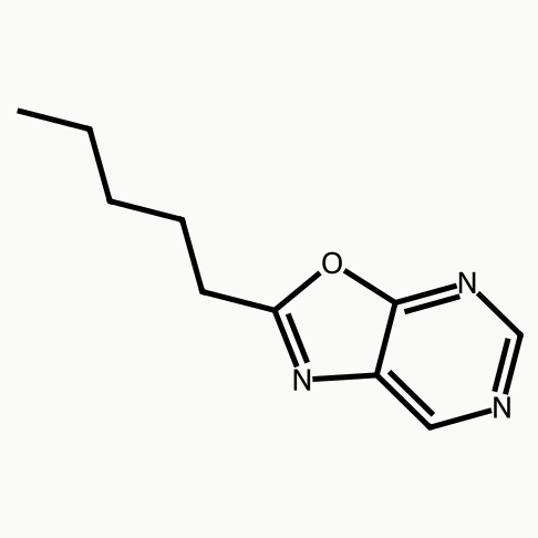 CCCCCc1nc2cncnc2o1